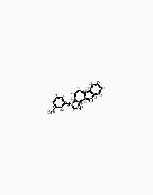 Brc1cccc(-n2cnc3c4oc5ccccc5c4ccc32)c1